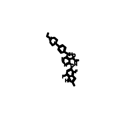 CCN1CCN(c2ccc(Nc3ncnc(Oc4cc(F)c5[nH]c(C)cc5c4F)c3C(=O)NC)cc2)CC1